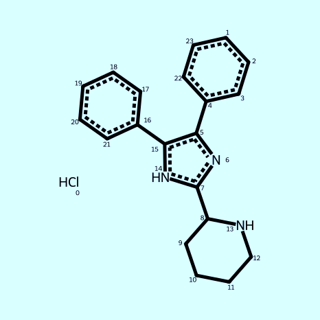 Cl.c1ccc(-c2nc(C3CCCCN3)[nH]c2-c2ccccc2)cc1